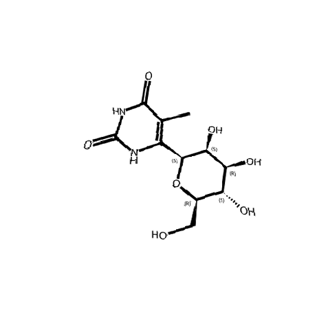 Cc1c([C@@H]2O[C@H](CO)[C@@H](O)[C@H](O)[C@@H]2O)[nH]c(=O)[nH]c1=O